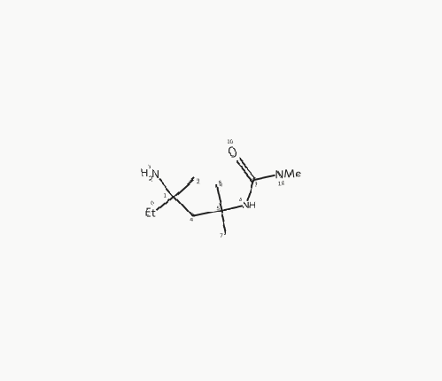 CCC(C)(N)CC(C)(C)NC(=O)NC